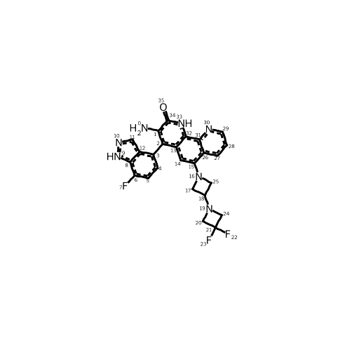 Nc1c(-c2ccc(F)c3[nH]ncc23)c2cc(N3CC(N4CC(F)(F)C4)C3)c3cccnc3c2[nH]c1=O